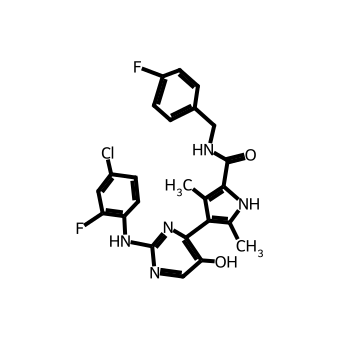 Cc1[nH]c(C(=O)NCc2ccc(F)cc2)c(C)c1-c1nc(Nc2ccc(Cl)cc2F)ncc1O